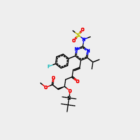 COC(=O)C[C@@H](CC(=O)C=Cc1c(-c2ccc(F)cc2)nc(N(C)S(C)(=O)=O)nc1C(C)C)O[Si](C)(C)C(C)(C)C